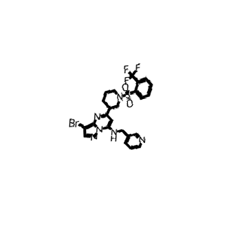 O=S(=O)(c1ccccc1C(F)(F)F)N1CCCC(c2cc(NCc3cccnc3)n3ncc(Br)c3n2)C1